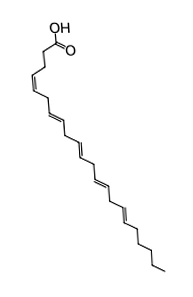 CCCCCC=CCC=CCC=CCC=CC/C=C\CCC(=O)O